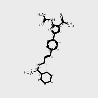 NC(=O)Nc1sc(-c2ccc(/C=C/CN[C@H](C(=O)O)C3CCCCC3)cc2)cc1C(N)=O